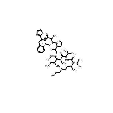 CC[C@H](C)[C@@H]([C@@H](CC(=O)N1CCC[C@H]1[C@H](OC)[C@@H](C)C(=O)N[C@@H](Cc1ccccc1)c1nccs1)OC)N(C)C(=O)[C@@H](NC(=O)[C@H](C(C)C)N(C)CCOCCO)C(C)C